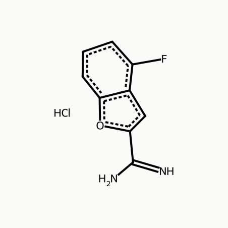 Cl.N=C(N)c1cc2c(F)cccc2o1